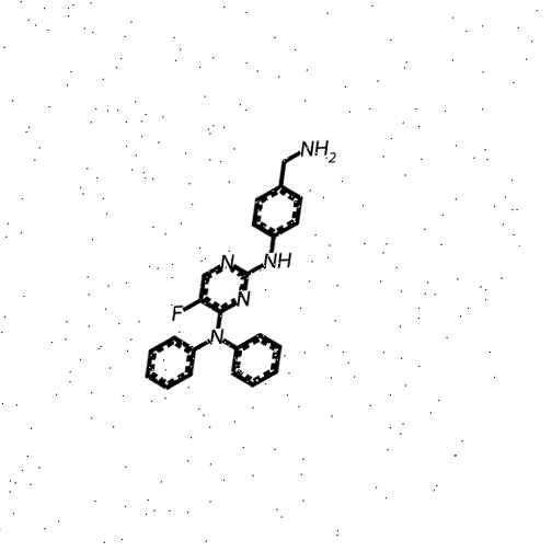 NCc1ccc(Nc2ncc(F)c(N(c3ccccc3)c3ccccc3)n2)cc1